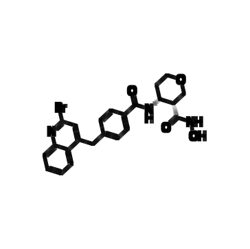 O=C(N[C@@H]1CCOC[C@@H]1C(=O)NO)c1ccc(Cc2cc(Br)nc3ccccc23)cc1